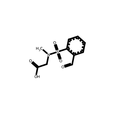 CN(CC(=O)O)S(=O)(=O)c1ccccc1C=O